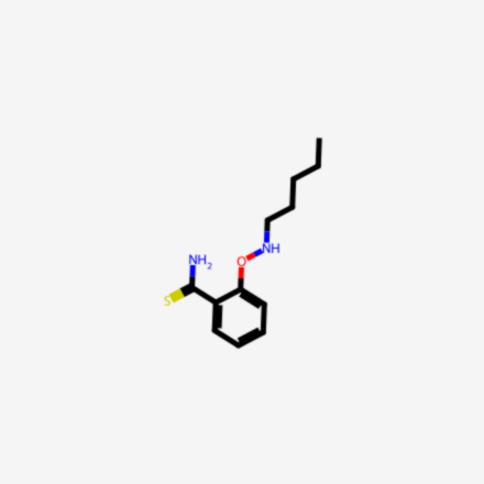 CCCCCNOc1ccccc1C(N)=S